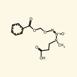 CN(CCC(=O)O)/[N+]([O-])=N\OCOC(=O)c1ccccc1